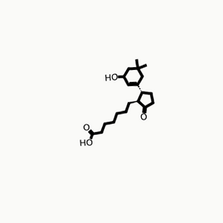 CC1(C)CC([C@@H]2CCC(=O)[C@H]2CCCCCCC(=O)O)=CC(O)C1